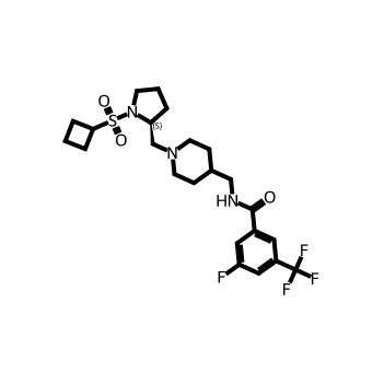 O=C(NCC1CCN(C[C@@H]2CCCN2S(=O)(=O)C2CCC2)CC1)c1cc(F)cc(C(F)(F)F)c1